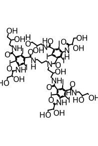 O=C(NCCCN(CC(O)CNC(=O)c1c(I)c(NC(=O)C(O)CO)c(I)c(C(=O)NCC(O)CO)c1I)C(=O)c1c(I)c(NC(=O)C(O)CO)c(I)c(C(=O)NCC(O)CO)c1I)c1c(I)c(NC(=O)C(O)CO)c(I)c(C(=O)NCC(O)CO)c1I